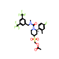 CC(=O)OCS(=O)(=O)[C@H]1CCN(C(=O)N(C)Cc2cc(C(F)(F)F)cc(C(F)(F)F)c2)[C@@H](c2ccc(F)cc2C)C1